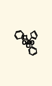 [Cl][Zr]([Cl])([O]c1ccccc1)([O]c1ccccc1)[C]1=CC=CC1